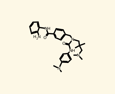 CN(C)CC(C)(C)CN(Cc1ccc(C(=O)Nc2ccccc2N)cc1)C(=O)Nc1ccc(N(C)C)cc1